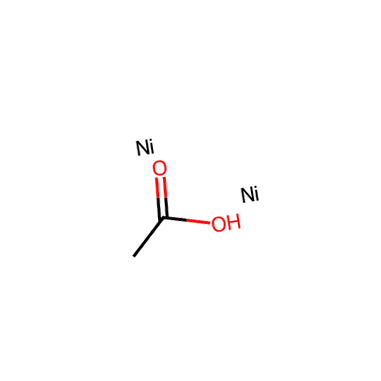 CC(=O)O.[Ni].[Ni]